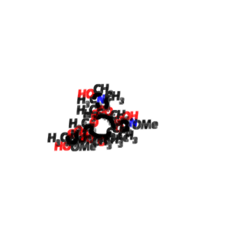 CO/N=C1\C[C@@H](C)O[C@@H](O[C@@H]2[C@@H](C)[C@H](O[C@H]3C[C@H](C)N(CC(C)(C)O)C[C@H](C)O3)[C@@H](C)C(=O)O[C@H]([C@@H](C)CO[C@@H]3O[C@H](C)[C@@H](O)[C@@H](OC)[C@H]3OC)[C@H](C)[C@@H](OC(=O)CC(C)C)[C@@H](C)C(=O)[C@@](C)(OC(C)=O)C[C@@H]2C)[C@@H]1O